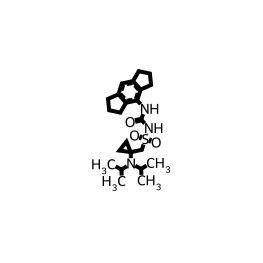 CC(C)N(C(C)C)C1(CS(=O)(=O)NC(=O)Nc2c3c(cc4c2CCC4)CCC3)CC1